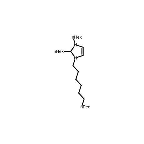 CCCCCCCCCCCCCCCCN1C=CN(CCCCCC)C1CCCCCC